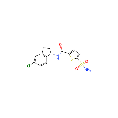 NS(=O)(=O)c1ccc(C(=O)NC2CCc3cc(Cl)ccc32)s1